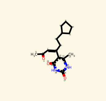 CC(=O)/C=C(/CCC1CCCC1)c1c(C)[nH]c(=O)[nH]c1=O